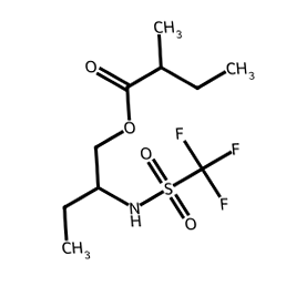 CCC(COC(=O)C(C)CC)NS(=O)(=O)C(F)(F)F